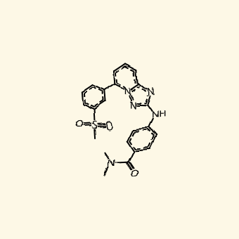 CN(C)C(=O)c1ccc(Nc2nc3cccc(-c4cccc(S(C)(=O)=O)c4)n3n2)cc1